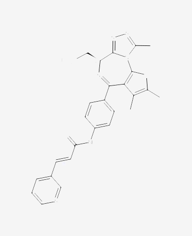 Cc1sc2c(c1C)C(c1ccc(NC(=O)/C=C/c3cccnc3)cc1)=N[C@@H](CC(=O)O)c1nnc(C)n1-2